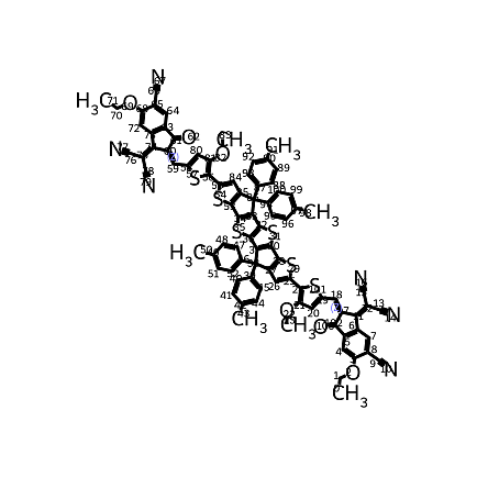 CCOc1cc2c(cc1C#N)C(=C(C#N)C#N)/C(=C/c1cc(OC)c(-c3cc4c(s3)-c3sc5c6c(sc5c3C4(c3ccc(C)cc3)c3ccc(C)cc3)-c3sc(-c4sc(/C=C5\C(=O)c7cc(C#N)c(OCC)cc7C5=C(C#N)C#N)cc4OC)cc3C6(c3ccc(C)cc3)c3ccc(C)cc3)s1)C2=O